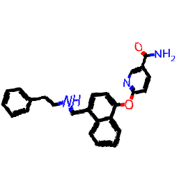 NC(=O)c1ccc(Oc2ccc(CNCCc3ccccc3)c3ccccc23)nc1